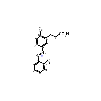 O=C(O)CCc1cc(/N=N/c2ccccc2Cl)ccc1O